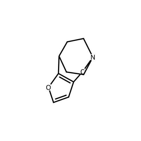 c1cc2c(o1)C1CCN(CC1)C2